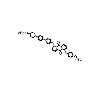 CCCCCC1CCC(c2ccc(-c3ccc(Sc4cccc5c4C(=O)c4cccc(Sc6ccc(OCCCC)cc6)c4C5=O)cc3)cc2)CC1